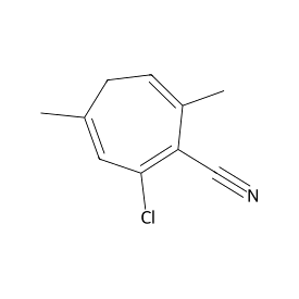 CC1=CC(Cl)=C(C#N)C(C)=CC1